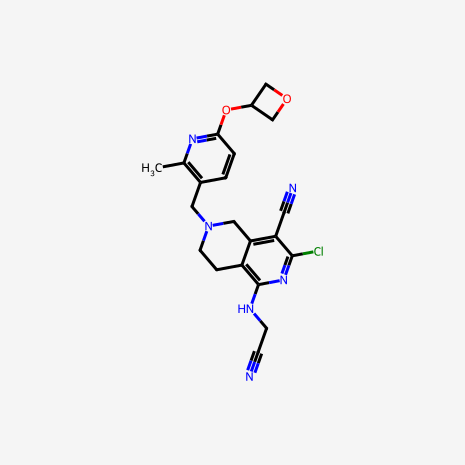 Cc1nc(OC2COC2)ccc1CN1CCc2c(NCC#N)nc(Cl)c(C#N)c2C1